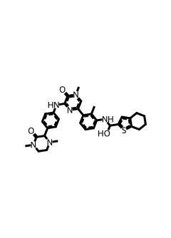 Cc1c(NC(O)c2cc3c(s2)CCCC3)cccc1-c1cn(C)c(=O)c(Nc2ccc(C3C(=O)N(C)CCN3C)cc2)n1